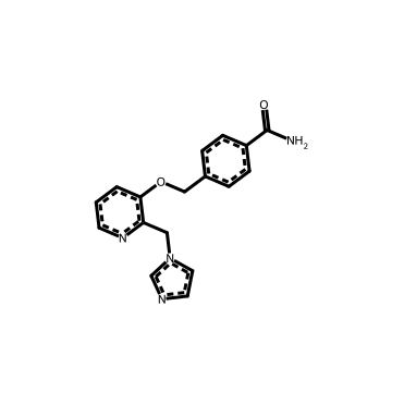 NC(=O)c1ccc(COc2cccnc2Cn2ccnc2)cc1